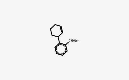 COc1ccccc1C1C=CCCC1